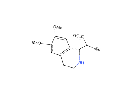 CCCCC(C(=O)OCC)C1NCCc2cc(OC)c(OC)cc21